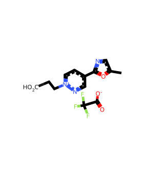 Cc1cnc(-c2cc[n+](CCC(=O)O)nc2)o1.O=C([O-])C(F)(F)F